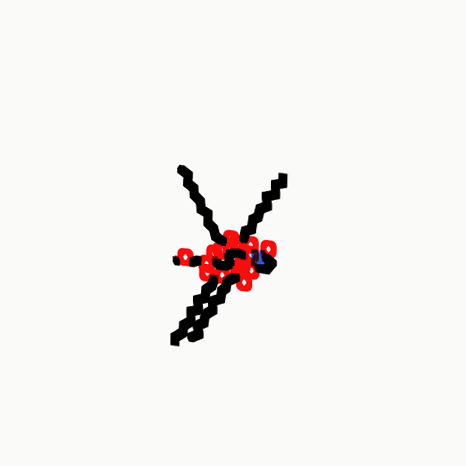 CCCCCCCCCCCC(=O)OC(C(=O)OCCOC)C(OC(=O)CCCCCCCCCCC)C(OC(=O)CCCCCCCCCCC)C(OC(=O)CCCCCCCCCCC)C(=O)ON1C(=O)CCC1=O